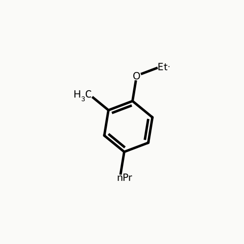 C[CH]Oc1ccc(CCC)cc1C